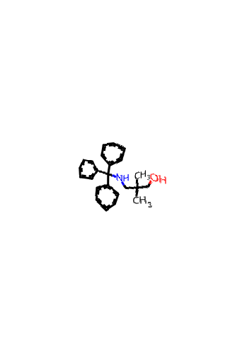 CC(C)(CO)CNC(c1ccccc1)(c1ccccc1)c1ccccc1